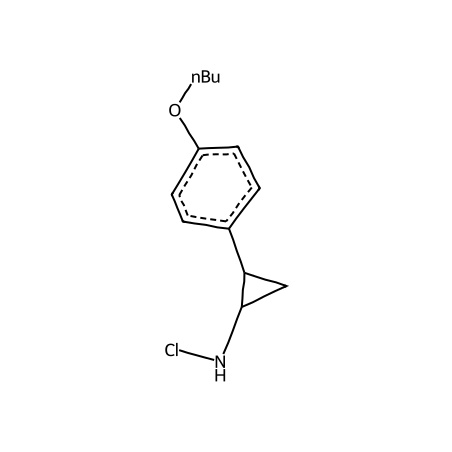 CCCCOc1ccc(C2CC2NCl)cc1